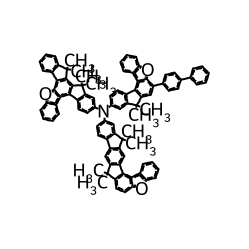 CC1(C)c2cc(N(c3ccc4c(c3)C(C)(C)c3cc(-c5ccc(-c6ccccc6)cc5)c5oc6ccccc6c5c3-4)c3ccc4c(c3)C(C)(C)c3c5c(c6oc7ccccc7c6c3-4)-c3ccccc3C5(C)C)ccc2-c2cc3c(cc21)-c1c(ccc2oc4ccccc4c12)C3(C)C